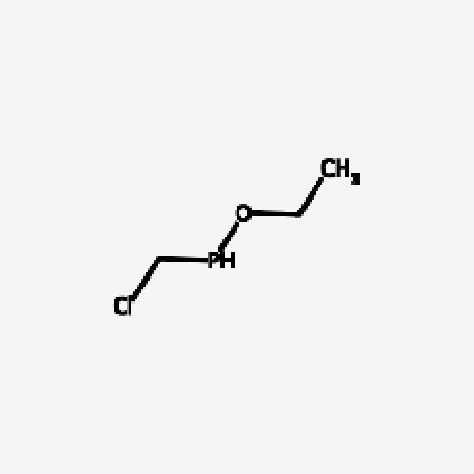 CCOPCCl